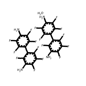 Nc1c(F)c(F)c(-c2c(F)c(N)c(F)c(F)c2F)c(F)c1F.Nc1c(F)c(F)c(-c2c(F)c(N)c(F)c(F)c2F)c(F)c1F.O